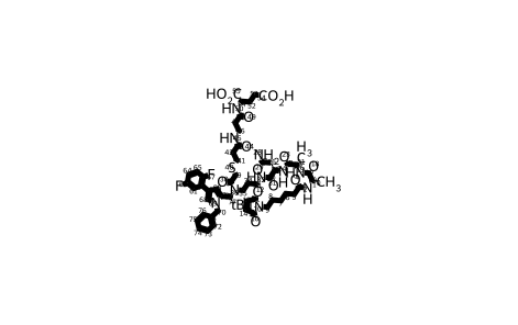 C[C@H](NC(=O)CCCCCN1C(=O)C=CC1=O)C(=O)N[C@@H](C)C(=O)N[C@@H](CC(N)=O)C(=O)NCCCN(C(=O)CSCCC(=O)NCCC(=O)N[C@@H](CCC(=O)O)C(=O)O)[C@@H](c1cc(-c2cc(F)ccc2F)cn1Cc1ccccc1)C(C)(C)C